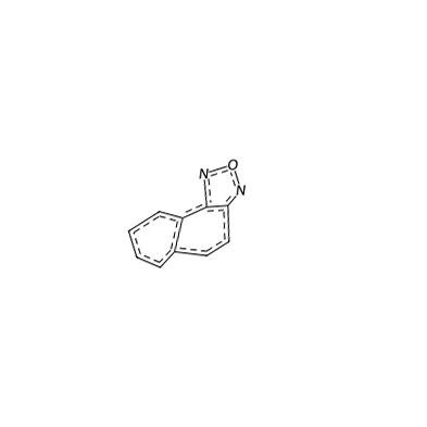 c1ccc2c(c1)ccc1nonc12